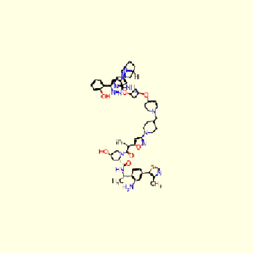 Cc1ncsc1-c1ccc([C@H](C)NC(=O)[C@@H]2C[C@@H](O)CN2C(=O)[C@H](c2cc(N3CCC(CN4CCC(OC5CC(Oc6cc(N7C8CC[C@@H]7CN(c7cc(-c9ccccc9O)nnc7N)C8)ccn6)C5)CC4)CC3)no2)C(C)C)c(N)c1